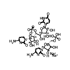 Nc1ccn([C@@H]2O[C@H](C(OP(=O)([O-])[O-])C(O)[C@H]3O[C@@H](n4ccc(=O)[nH]c4=O)[C@H](O)[C@@H]3O)[C@@H](O)[C@H]2O)c(=O)n1.Nc1ccn([C@@H]2O[C@H](COP(=O)(O)O)[C@@H](O)[C@H]2O)c(=O)n1.[Na+].[Na+]